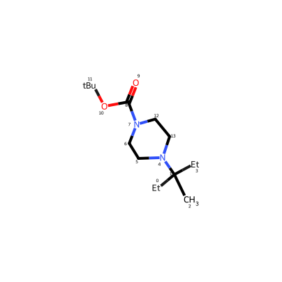 CCC(C)(CC)N1CCN(C(=O)OC(C)(C)C)CC1